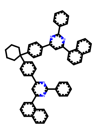 c1ccc(-c2nc(-c3ccc(C4(c5ccc(-c6cc(-c7cccc8ccccc78)nc(-c7ccccc7)n6)cc5)CCCCC4)cc3)cc(-c3cccc4ccccc34)n2)cc1